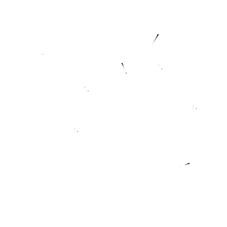 CC(=O)[C@@H]1C(C)[C@@H]2CN1C(=O)[C@H](C(C)(C)C)NC(=O)O[C@@H]1CC3CC3[C@H]1CCCCCc1nc3ccc4c(c3nc1O2)OC(F)(F)O4